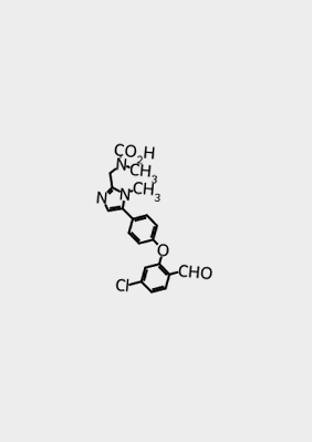 CN(Cc1ncc(-c2ccc(Oc3cc(Cl)ccc3C=O)cc2)n1C)C(=O)O